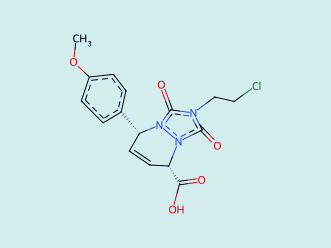 COc1ccc([C@H]2C=C[C@@H](C(=O)O)n3c(=O)n(CCCl)c(=O)n32)cc1